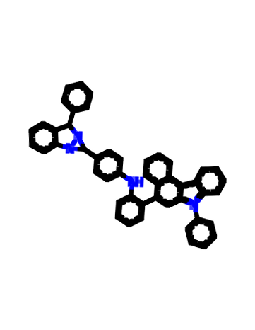 c1ccc(C2c3ccccc3N3C(c4ccc(Nc5ccccc5-c5cc6c(c7ccccc57)c5ccccc5n6-c5ccccc5)cc4)N23)cc1